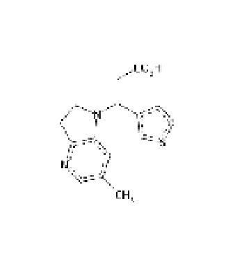 Cc1cnc2c(c1)N(C(CC(=O)O)c1ccsc1)CC2